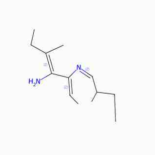 C/C=C(\N=C/C(C)CC)C(/N)=C(\C)CC